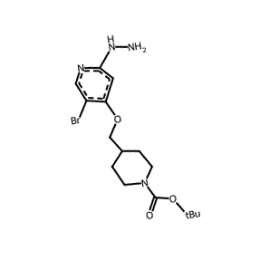 CC(C)(C)OC(=O)N1CCC(COc2cc(NN)ncc2Br)CC1